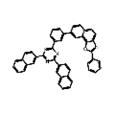 c1ccc(-c2nc3ccc4ccc(-c5cccc(-c6nc(-c7ccc8ccccc8c7)nc(-c7ccc8ccccc8c7)n6)c5)cc4c3o2)cc1